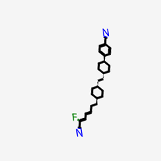 N#CC(F)=CC=CCC[C@H]1CC[C@H](CC[C@H]2CC[C@H](c3ccc(C#N)cc3)CC2)CC1